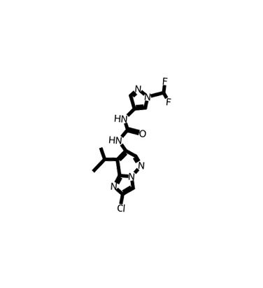 CC(C)c1c(NC(=O)Nc2cnn(C(F)F)c2)cnn2cc(Cl)nc12